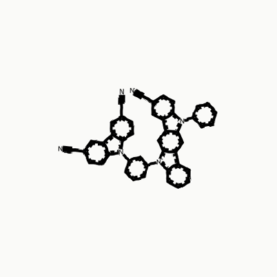 N#Cc1ccc2c(c1)c1cc(C#N)ccc1n2-c1cccc(-n2c3ccccc3c3cc4c(cc32)c2cc(C#N)ccc2n4-c2ccccc2)c1